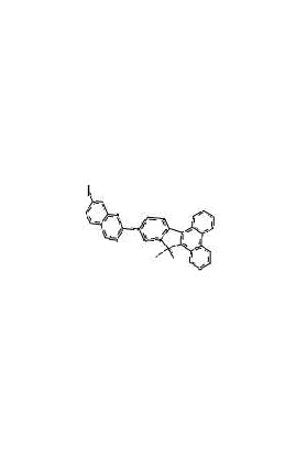 CC1(C)c2cc(-c3ccc4ccc(I)cc4c3)ccc2-c2c1c1ccccc1c1ccccc21